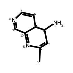 CC1=CC(N)C2C=CN=CC2=N1